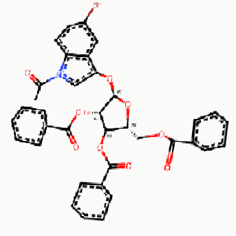 CC(=O)n1cc(O[C@H]2O[C@H](COC(=O)c3ccccc3)[C@@H](OC(=O)c3ccccc3)[C@@H]2OC(=O)c2ccccc2)c2cc(Br)ccc21